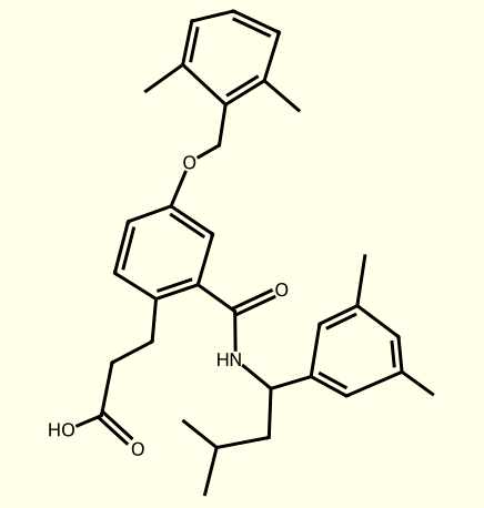 Cc1cc(C)cc(C(CC(C)C)NC(=O)c2cc(OCc3c(C)cccc3C)ccc2CCC(=O)O)c1